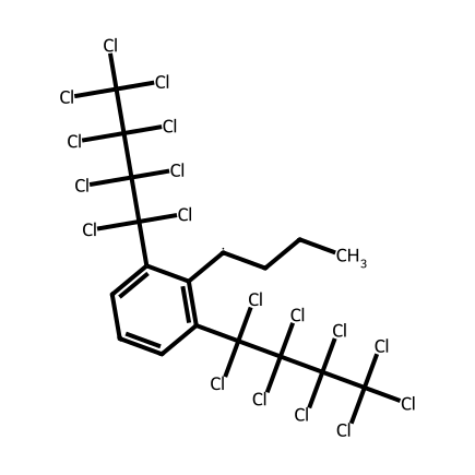 CCC[CH]c1c(C(Cl)(Cl)C(Cl)(Cl)C(Cl)(Cl)C(Cl)(Cl)Cl)cccc1C(Cl)(Cl)C(Cl)(Cl)C(Cl)(Cl)C(Cl)(Cl)Cl